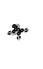 CCC1(CC)c2ccccc2-c2c1c1c(c3cc(OC)c(N4CCOCC4)cc23)OC(c2ccc(N3CCOCC3)cc2)(c2ccc(N3CCOCC3)cc2)C=C1